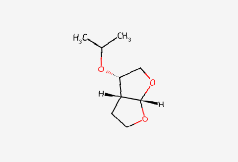 CC(C)O[C@@H]1CO[C@@H]2OCC[C@@H]21